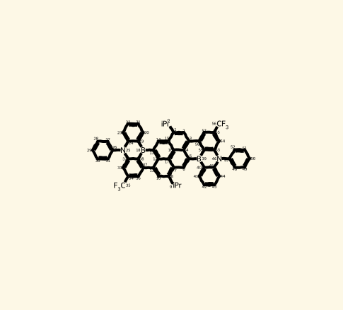 CC(C)c1cc2c3c(cc4c(C(C)C)cc5c6c(cc1c3c46)B1c3ccccc3N(c3ccccc3)c3cc(C(F)(F)F)cc-5c31)B1c3ccccc3N(c3ccccc3)c3cc(C(F)(F)F)cc-2c31